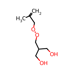 C=C(C)COOCC(CO)CO